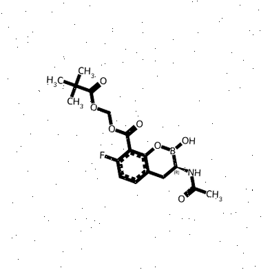 CC(=O)N[C@H]1Cc2ccc(F)c(C(=O)OCOC(=O)C(C)(C)C)c2OB1O